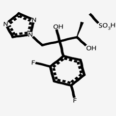 CS(=O)(=O)O.C[C@@H](O)C(O)(Cn1cncn1)c1ccc(F)cc1F